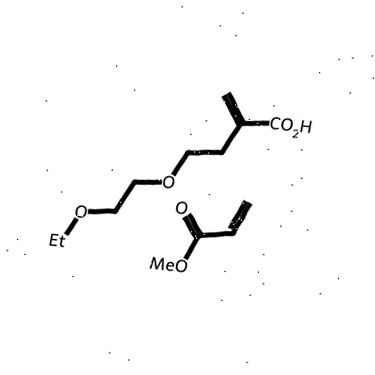 C=C(CCOCCOCC)C(=O)O.C=CC(=O)OC